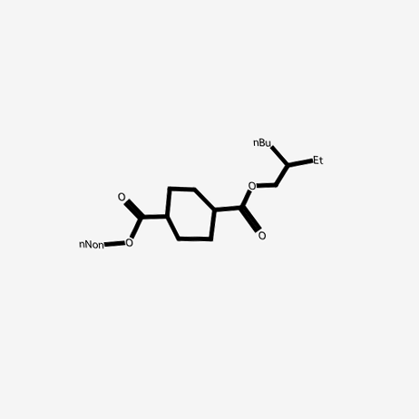 CCCCCCCCCOC(=O)C1CCC(C(=O)OCC(CC)CCCC)CC1